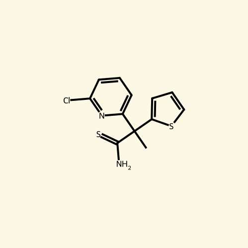 CC(C(N)=S)(c1cccc(Cl)n1)c1cccs1